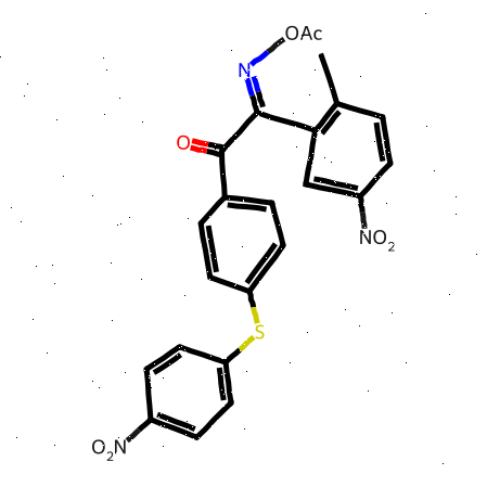 CC(=O)O/N=C(/C(=O)c1ccc(Sc2ccc([N+](=O)[O-])cc2)cc1)c1cc([N+](=O)[O-])ccc1C